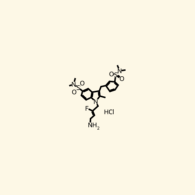 Cc1c(Cc2cccc(S(=O)(=O)N(C)C)c2)c2cc(S(=O)(=O)N(C)C)ccc2n1CC(F)=CCN.Cl